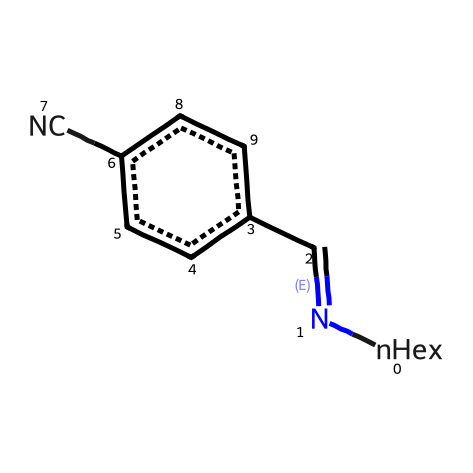 CCCCCC/N=C/c1ccc(C#N)cc1